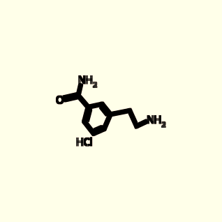 Cl.NCCc1cccc(C(N)=O)c1